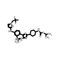 Cc1nc(C2CCC(NC(=O)OC(C)C)CC2)sc1-c1ccc(Nc2ccn(CC(F)(F)F)n2)cc1S(N)(=O)=O